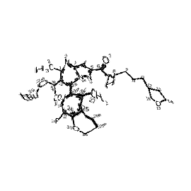 Cc1nc2cc(C(=O)NCCCC3CCOC3)nn2c(-c2cc(F)c3c(c2C)CCCO3)c1[C@H](OC(C)(C)C)C(=O)O